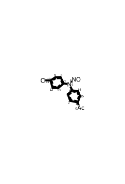 CC(=O)c1ccc(N(N=O)c2ccc(Cl)cc2)cc1